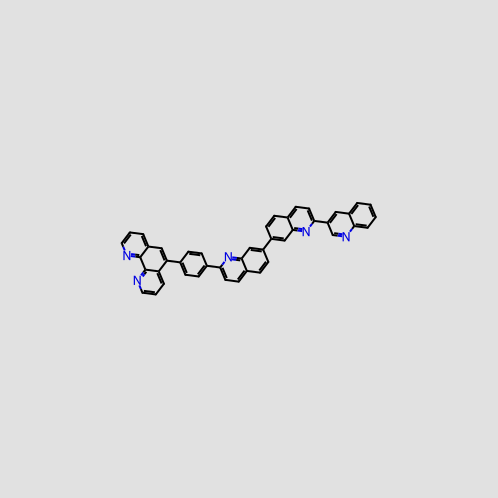 c1ccc2ncc(-c3ccc4ccc(-c5ccc6ccc(-c7ccc(-c8cc9cccnc9c9ncccc89)cc7)nc6c5)cc4n3)cc2c1